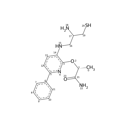 C[C@@H](Oc1nc(-c2ccccc2)ccc1NCC(N)CS)C(N)=O